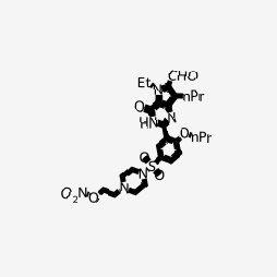 CCCOc1ccc(S(=O)(=O)N2CCN(CCO[N+](=O)[O-])CC2)cc1-c1nc2c(CCC)c(C=O)n(CC)c2c(=O)[nH]1